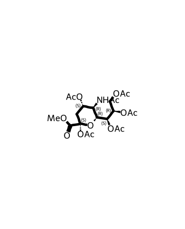 COC(=O)[C@@]1(OC(C)=O)C[C@H](OC(C)=O)[C@@H](NC(C)=O)[C@H]([C@H](OC(C)=O)[C@@H](COC(C)=O)OC(C)=O)O1